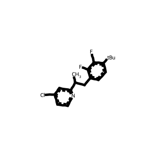 CC(Cc1ccc(C(C)(C)C)c(F)c1F)c1cc(Cl)ccn1